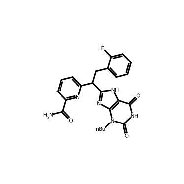 CCCCn1c(=O)[nH]c(=O)c2[nH]c(C(Cc3ccccc3F)c3cc[c]c(C(N)=O)n3)nc21